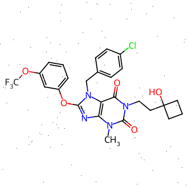 Cn1c(=O)n(CCC2(O)CCC2)c(=O)c2c1nc(Oc1cccc(OC(F)(F)F)c1)n2Cc1ccc(Cl)cc1